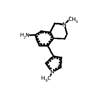 CN1CCc2c(cc(N)cc2-c2ccn(C)c2)C1